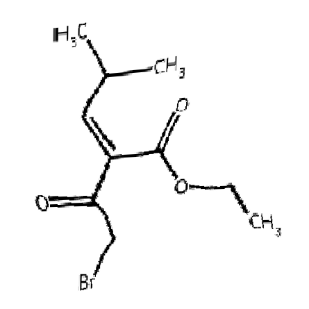 CCOC(=O)/C(=C\C(C)C)C(=O)CBr